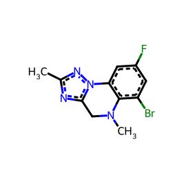 Cc1nc2n(n1)-c1cc(F)cc(Br)c1N(C)C2